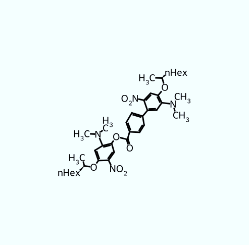 CCCCCC[C@@H](C)Oc1cc(N(C)C)c(OC(=O)c2ccc(-c3cc(N(C)C)c(O[C@@H](C)CCCCCC)cc3[N+](=O)[O-])cc2)cc1[N+](=O)[O-]